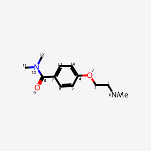 CNCCOc1ccc(C(=O)N(C)C)cc1